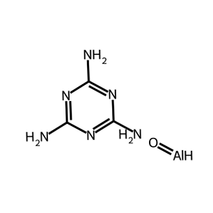 Nc1nc(N)nc(N)n1.[O]=[AlH]